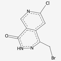 O=c1[nH]nc(CBr)c2cc(Cl)ncc12